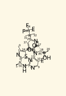 Cc1nc([C@H](C)Nc2ncc(F)c(N3C(=O)OC[C@@H]3[C@@H](C)O)n2)sc1-c1ccnc(C(C)(C)C(F)(F)F)c1